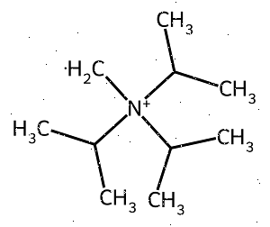 [CH2][N+](C(C)C)(C(C)C)C(C)C